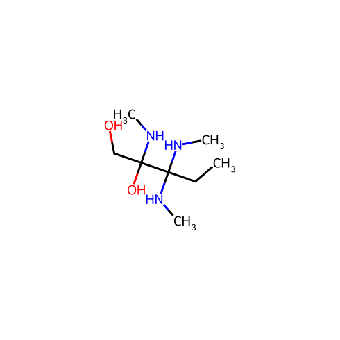 CCC(NC)(NC)C(O)(CO)NC